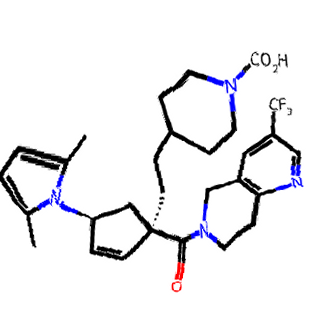 Cc1ccc(C)n1[C@@H]1C=C[C@](CCC2CCN(C(=O)O)CC2)(C(=O)N2CCc3ncc(C(F)(F)F)cc3C2)C1